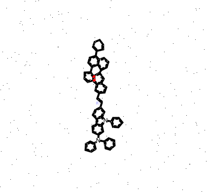 C1=CC(c2ccc(-c3ccccc3)c3c(-c4ccc5cc(/C=C/c6ccc7c8ccc(N(c9ccccc9)c9ccccc9)cc8n(-c8ccccc8)c7c6)ccc5c4)cccc23)=CCC1